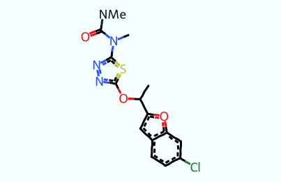 CNC(=O)N(C)c1nnc(OC(C)c2cc3ccc(Cl)cc3o2)s1